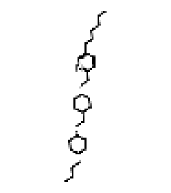 CCCCCCc1ccc(CC[C@H]2CC[C@H](CC[C@H]3CC[C@H](CCCC)CC3)CC2)nc1